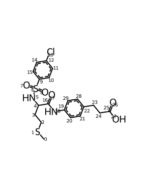 CSCCC(NS(=O)(=O)c1ccc(Cl)cc1)C(=O)Nc1ccc(CCC(=O)O)cc1